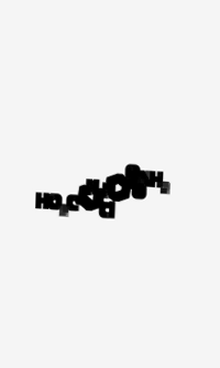 NS(=O)(=O)C1CCN(c2ncc(C(=O)O)cc2Cl)CC1